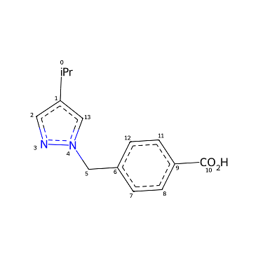 CC(C)c1cnn(Cc2ccc(C(=O)O)cc2)c1